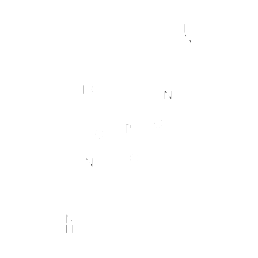 CCP(=O)(ON1CCNCC1)ON1CCNCC1